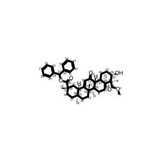 COC(=O)[C@@]1(C)[C@@H]2CC[C@]3(C)[C@H](C(=O)C=C4[C@@H]5C[C@@](C)(C(=O)OC(c6ccccc6)c6ccccc6)CC[C@]5(C)CC[C@]43C)[C@@]2(C)CC[C@@H]1O